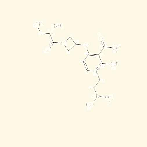 N[C@@H](CO)C(=O)N1CC(Oc2ccc(CCB(O)O)c(O)c2C(=O)O)C1